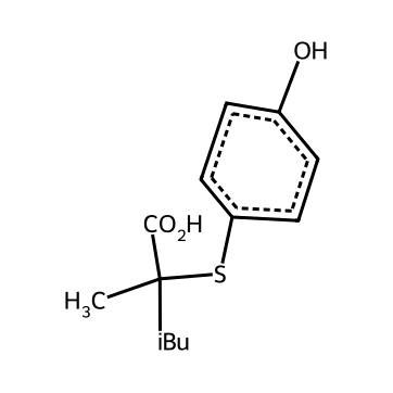 CCC(C)C(C)(Sc1ccc(O)cc1)C(=O)O